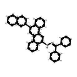 c1ccc(C(=NNc2cc3c4ccccc4c(-c4ccc5ccccc5c4)cc3c3ccccc23)c2ccccc2)cc1